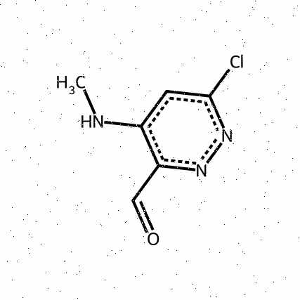 CNc1cc(Cl)nnc1C=O